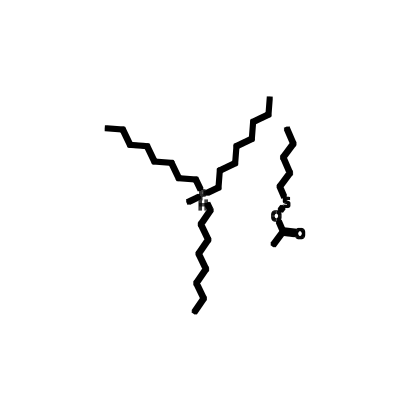 CCCCCCCC[PH](C)(CCCCCCCC)CCCCCCCC.CCCCCSOC(C)=O